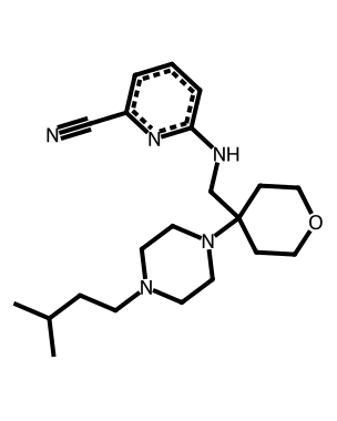 CC(C)CCN1CCN(C2(CNc3cccc(C#N)n3)CCOCC2)CC1